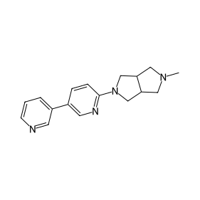 CN1CC2CN(c3ccc(-c4cccnc4)cn3)CC2C1